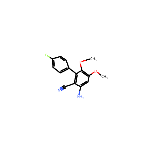 COc1cc(N)c(C#N)c(-c2ccc(F)cc2)c1OC